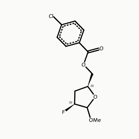 COC1O[C@H](COC(=O)c2ccc(Cl)cc2)C[C@@H]1F